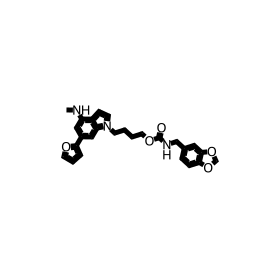 CNc1cc(-c2ccco2)cc2c1ccn2CCCCOC(=O)NCc1ccc2c(c1)OCO2